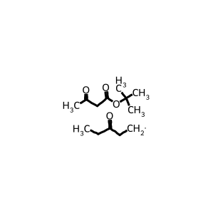 CC(=O)CC(=O)OC(C)(C)C.[CH2]CC(=O)CC